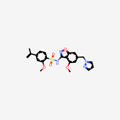 C=C(C)c1ccc(S(=O)(=O)Nc2noc3cc(Cn4cccn4)cc(OC)c23)c(OC)c1